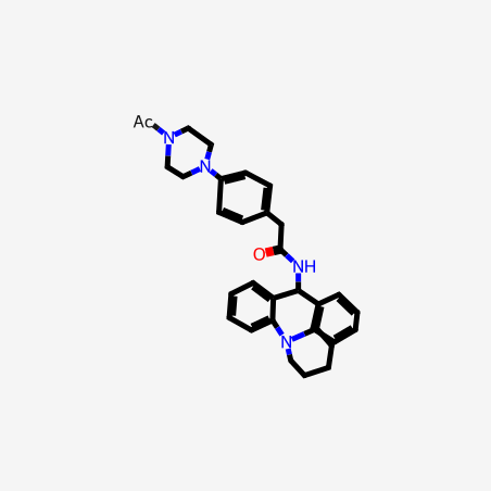 CC(=O)N1CCN(c2ccc(CC(=O)NC(c3ccccc3)c3ccccc3N3CCCCC3)cc2)CC1